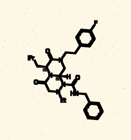 CCN1CC(=O)N2[C@@H](CC(C)C)C(=O)N(CCc3ccc(F)cc3)C[C@@H]2N1C(=O)NCc1ccccc1